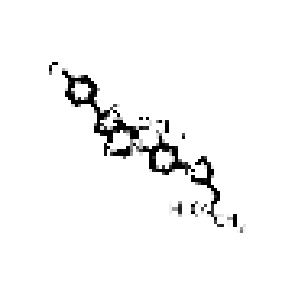 Cc1cc(N2CCC(CN(C)C)C2)ccc1-n1cnc2cc(-c3ccc(Cl)cc3)sc2c1=O